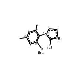 CCc1[nH]cc[n+]1-c1c(C)cc(C)cc1C.[Br-]